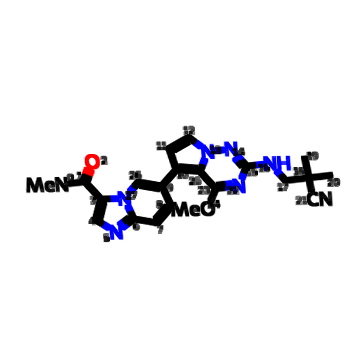 CNC(=O)c1cnc2ccc(-c3ccn4nc(NCC(C)(C)C#N)nc(OC)c34)cn12